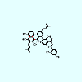 CC(C)=CCC1=CC(c2c(O)cc3c(c2O)C(=O)CC(c2ccc(O)cc2O)O3)C(C(=O)c2ccc(O)c(CC=C(C)C)c2O)C(c2ccc(O)cc2C)C1